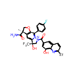 CCc1ccc2cc(C(=O)NC[C@](O)(c3cc4c(c(-c5ccc(F)cc5)n3)OC[C@]4(C)C(N)=O)C(F)(F)F)cc(O)c2n1